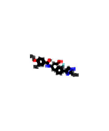 CC(C)Oc1ccc(C(=O)N[C@H](CCO)Cc2ccc(-c3c[nH]c(C(C)(C)C)n3)c(F)c2)cc1C#N